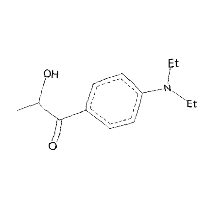 CCN(CC)c1ccc(C(=O)C(C)O)cc1